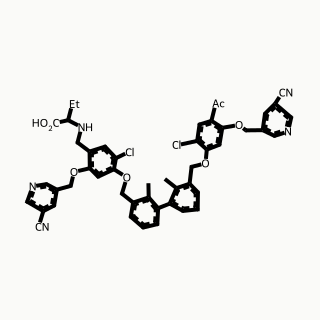 CCC(NCc1cc(Cl)c(OCc2cccc(-c3cccc(COc4cc(OCc5cncc(C#N)c5)c(C(C)=O)cc4Cl)c3C)c2C)cc1OCc1cncc(C#N)c1)C(=O)O